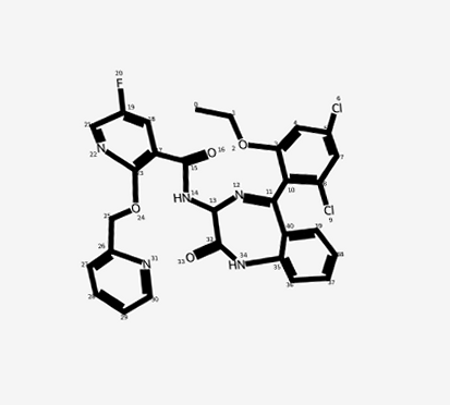 CCOc1cc(Cl)cc(Cl)c1C1=NC(NC(=O)c2cc(F)cnc2OCc2ccccn2)C(=O)Nc2ccccc21